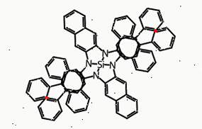 c1ccc(-c2ccc(N3c4cc5ccccc5cc4N(c4ccc(-c5ccccc5)c5ccccc45)[Si]34N(c3ccc(-c5ccccc5)c5ccccc35)c3cc5ccccc5cc3N4c3ccc(-c4ccccc4)c4ccccc34)c3ccccc23)cc1